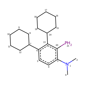 CN(C)c1ccc(C2CCCCC2)c(C2CCCCC2)c1P